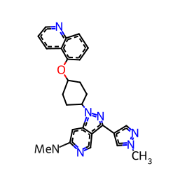 CNc1cc2c(cn1)c(-c1cnn(C)c1)nn2C1CCC(Oc2cccc3ncccc23)CC1